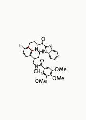 COc1cc(C(=O)N(C)CC(CCN2CCCCC2C(=O)c2nc3ccccc3[nH]2)c2ccc(F)cc2)cc(OC)c1OC